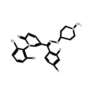 CCc1cccc(CC)c1-n1cc(/C(=N/OC2CCN(C)CC2)c2ccc(F)cc2F)ccc1=O